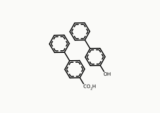 O=C(O)c1ccc(-c2ccccc2)cc1.Oc1ccc(-c2ccccc2)cc1